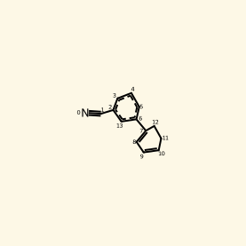 N#Cc1cccc(C2=CC=CCC2)c1